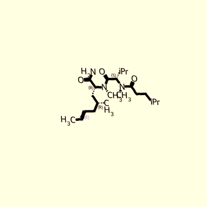 C/C=C/C[C@@H](C)C[C@H](C(N)=O)N(C)C(=O)[C@H](C(C)C)N(C)C(=O)CCC(C)C